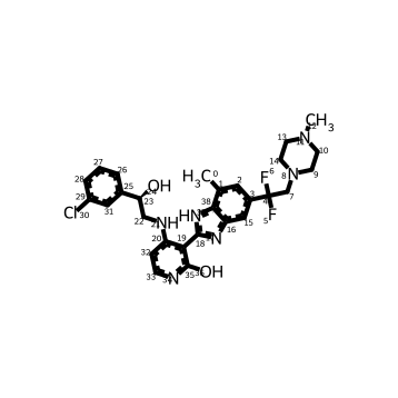 Cc1cc(C(F)(F)CN2CCN(C)CC2)cc2nc(-c3c(NC[C@H](O)c4cccc(Cl)c4)ccnc3O)[nH]c12